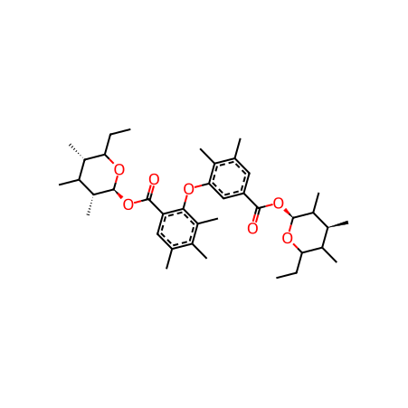 CCC1O[C@@H](OC(=O)c2cc(C)c(C)c(Oc3c(C(=O)O[C@@H]4OC(CC)[C@@H](C)C(C)[C@H]4C)cc(C)c(C)c3C)c2)C(C)[C@@H](C)C1C